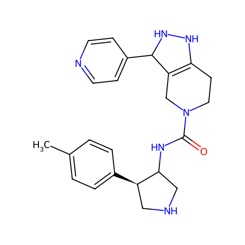 Cc1ccc([C@@H]2CNCC2NC(=O)N2CCC3=C(C2)C(c2ccncc2)NN3)cc1